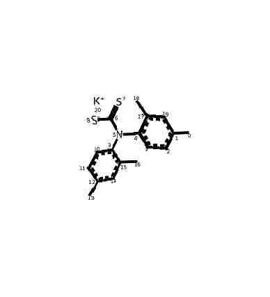 Cc1ccc(N(C(=S)[S-])c2ccc(C)cc2C)c(C)c1.[K+]